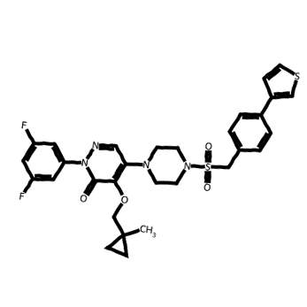 CC1(COc2c(N3CCN(S(=O)(=O)Cc4ccc(-c5ccsc5)cc4)CC3)cnn(-c3cc(F)cc(F)c3)c2=O)CC1